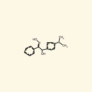 CN(C)c1ccc(C(O)C(=NO)c2ccccc2)cc1